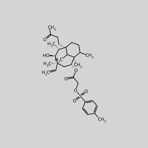 C=C[C@]1(C)C[C@@H](OC(=O)COS(=O)(=O)c2ccc(C)cc2)[C@]2(C)C(C)CC[C@@](CCC(C)=O)(C2C)[C@@H](C)[C@@H]1O